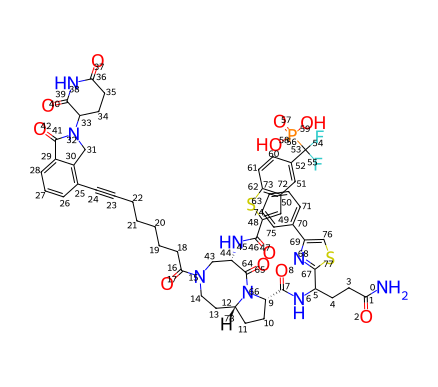 NC(=O)CCC(NC(=O)[C@@H]1CC[C@@H]2CCN(C(=O)CCCCCC#Cc3cccc4c3CN(C3CCC(=O)NC3=O)C4=O)C[C@H](NC(=O)c3cc4cc(C(F)(F)P(=O)(O)O)ccc4s3)C(=O)N21)c1nc(-c2ccccc2)cs1